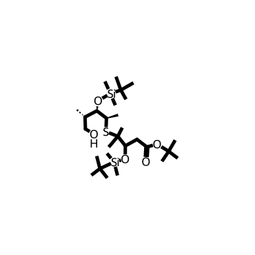 C[C@@H](CO)[C@H](O[Si](C)(C)C(C)(C)C)[C@@H](C)SC(C)(C)C(CC(=O)OC(C)(C)C)O[Si](C)(C)C(C)(C)C